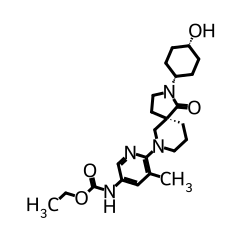 CCOC(=O)Nc1cnc(N2CCC[C@@]3(CCN([C@H]4CC[C@@H](O)CC4)C3=O)C2)c(C)c1